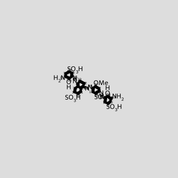 COc1cc(N=Nc2cc(S(=O)(=O)O)cc(N)c2O)c(S(=O)(=O)O)cc1N=Nc1ccc(N=Nc2cc(S(=O)(=O)O)cc(N)c2O)c2ccc(S(=O)(=O)O)cc12